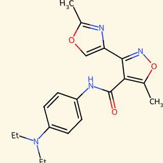 CCN(CC)c1ccc(NC(=O)c2c(-c3coc(C)n3)noc2C)cc1